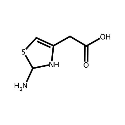 NC1NC(CC(=O)O)=CS1